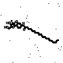 CC/C=C\C/C=C/C/C=C/C/C=C/C/C=C/CCCC(=O)Nc1ccn(C2OC(CO)C(O)C2(F)F)c(=O)n1